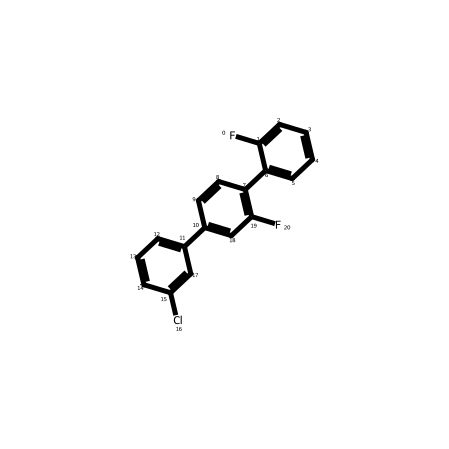 Fc1ccccc1-c1ccc(-c2cc[c]c(Cl)c2)cc1F